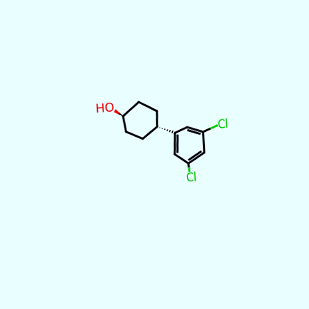 O[C@H]1CC[C@H](c2cc(Cl)cc(Cl)c2)CC1